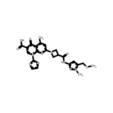 COCc1cc(NC(=O)C2CN(c3cc(C)c4c(=O)c(C(=O)O)cn(-c5nccs5)c4n3)C2)nn1C